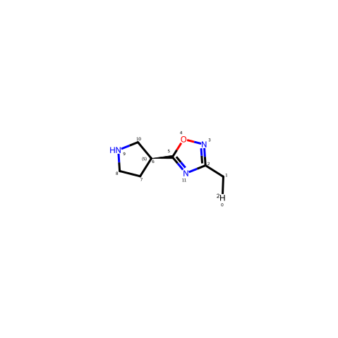 [2H]Cc1noc([C@H]2CCNC2)n1